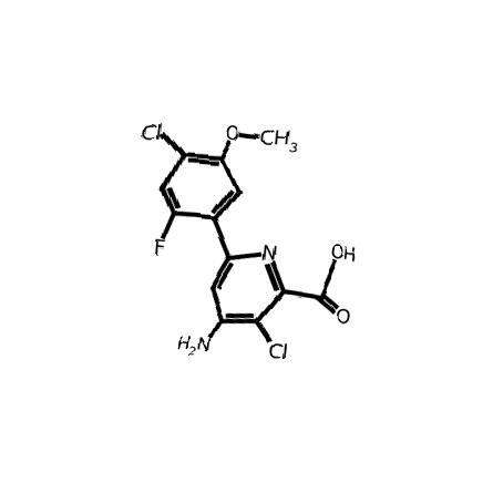 COc1cc(-c2cc(N)c(Cl)c(C(=O)O)n2)c(F)cc1Cl